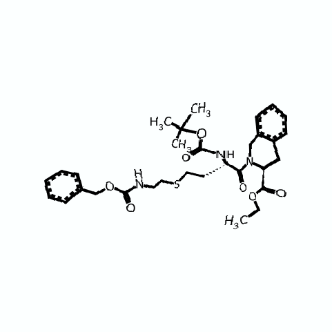 CCOC(=O)[C@@H]1Cc2ccccc2CN1C(=O)[C@H](CCSCCNC(=O)OCc1ccccc1)NC(=O)OC(C)(C)C